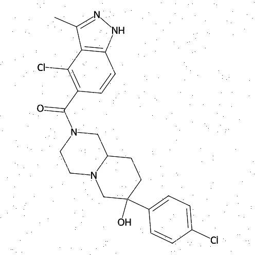 Cc1n[nH]c2ccc(C(=O)N3CCN4CC(O)(c5ccc(Cl)cc5)CCC4C3)c(Cl)c12